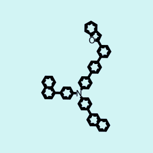 c1cc(-c2ccc(-c3ccc(N(c4ccc(-c5ccc6ccccc6c5)cc4)c4ccc(-c5cccc6ccccc56)cc4)cc3)cc2)cc(-c2cc3ccccc3o2)c1